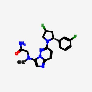 NC(=O)CN(C=O)c1cnc2ccc(N3C[C@@H](F)C[C@@H]3c3cccc(F)c3)nn12